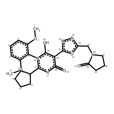 COc1cccc(OC)c1-n1c(C2CCCC2)nc(=O)c(-c2nnc(CN3CCCC3=O)o2)c1O